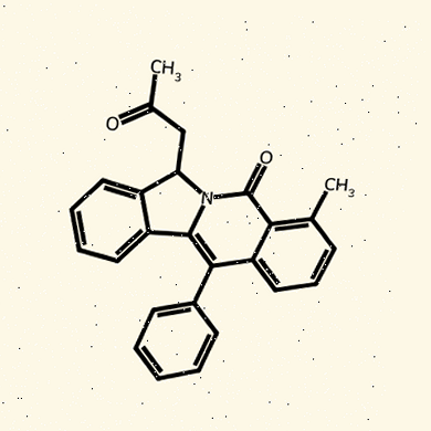 CC(=O)CC1c2ccccc2-c2c(-c3ccccc3)c3cccc(C)c3c(=O)n21